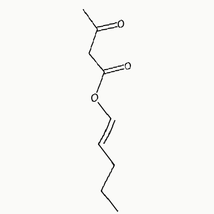 CCCC=COC(=O)CC(C)=O